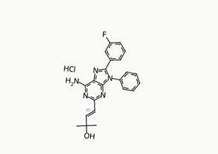 CC(C)(O)/C=C/c1nc(N)c2nc(-c3cccc(F)c3)n(-c3ccccc3)c2n1.Cl